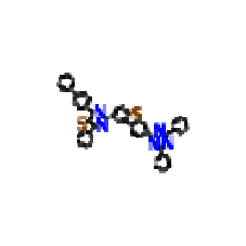 c1ccc(-c2ccc(-c3nc(-c4ccc5sc6cc(-c7nc(-c8ccccc8)nc(-c8ccccc8)n7)ccc6c5c4)nc4c3sc3ccccc34)cc2)cc1